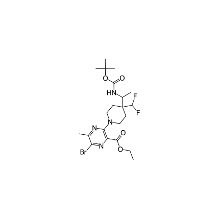 CCOC(=O)c1nc(Br)c(C)nc1N1CCC(C(F)F)(C(C)NC(=O)OC(C)(C)C)CC1